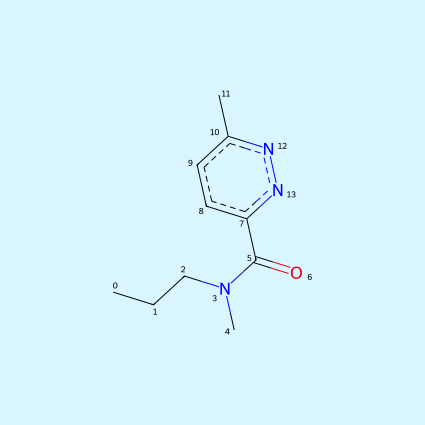 CCCN(C)C(=O)c1ccc(C)nn1